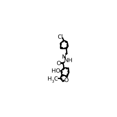 Cc1coc2ccc(C(=O)NN=Cc3ccc(Cl)cc3)c(O)c12